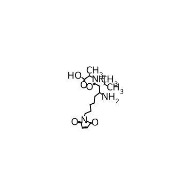 CC(C)[C@@H](C(=O)N[C@H](C)C(=O)O)C(N)CCCCCN1C(=O)C=CC1=O